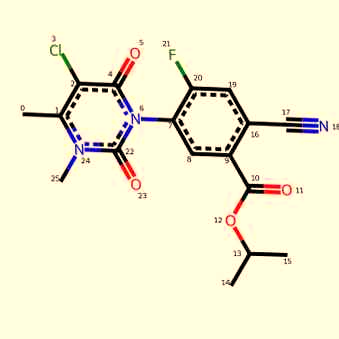 Cc1c(Cl)c(=O)n(-c2cc(C(=O)OC(C)C)c(C#N)cc2F)c(=O)n1C